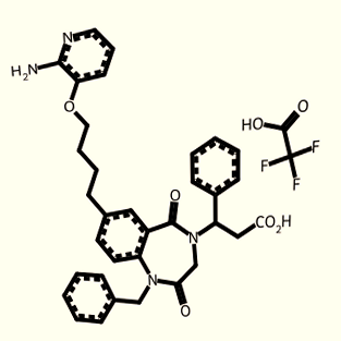 Nc1ncccc1OCCCCc1ccc2c(c1)C(=O)N(C(CC(=O)O)c1ccccc1)CC(=O)N2Cc1ccccc1.O=C(O)C(F)(F)F